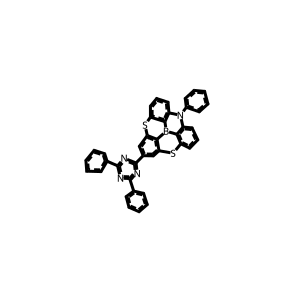 c1ccc(-c2nc(-c3ccccc3)nc(-c3cc4c5c(c3)Sc3cccc6c3B5c3c(cccc3N6c3ccccc3)S4)n2)cc1